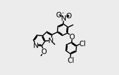 COc1nccc2cc(-c3cc(Oc4ccc(Cl)cc4Cl)c(C)c([N+](=O)[O-])c3)n(C)c12